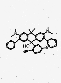 C#Cc1ccc(Br)cc1C1(O)c2cc(-c3ccccc3)c(N(C)C)cc2C(C)(C)c2cc(N(C)C)c(-c3ccccc3)cc21